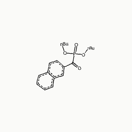 CCCCOP(=O)(OCCCC)C(=O)c1ccc2ccccc2c1